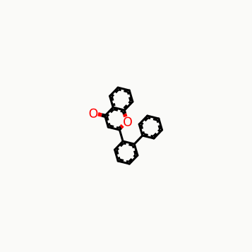 O=c1cc(-c2ccccc2-c2ccccc2)oc2ccccc12